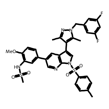 COc1ccc(-c2cnc3c(c2)c(-c2c(C)nn(Cc4cc(F)cc(F)c4)c2C)cn3S(=O)(=O)c2ccc(C)cc2)cc1NS(C)(=O)=O